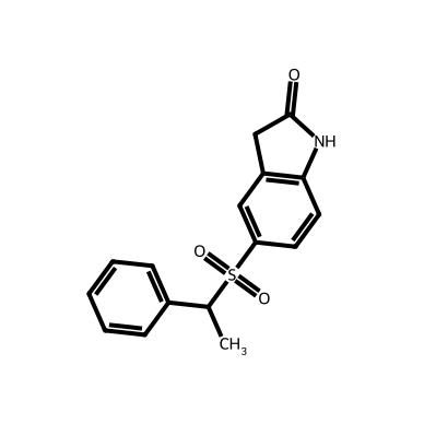 CC(c1ccccc1)S(=O)(=O)c1ccc2c(c1)CC(=O)N2